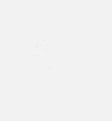 CCOc1cc(CN2CCC(Nc3nc(OC)nc(OC)n3)CC2)ccc1F